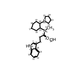 CN(C(=O)CCc1c[nH]c2ccccc12)C1CCCCC1N1CCCC1.Cl